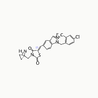 NC1(CN2C(=O)S/C(=C\c3ccc4c(cnn4Cc4ccc(Cl)cc4C(F)(F)F)c3)C2=O)CC1